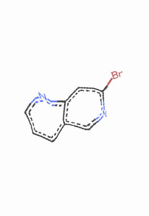 Brc1cc2ncccc2cn1